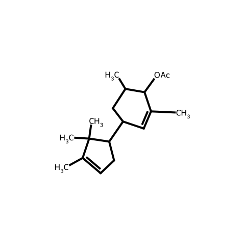 CC(=O)OC1C(C)=CC(C2CC=C(C)C2(C)C)CC1C